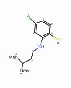 CNC(CCNc1cc(Cl)ccc1S)NC